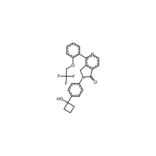 O=C1c2ccnc(-c3ccccc3OCC(F)(F)F)c2CN1c1ccc(C2(O)CCC2)cc1